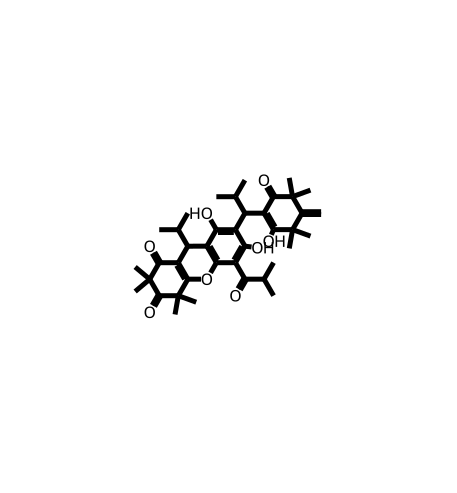 C=C1C(C)(C)C(=O)C(C(c2c(O)c(C(=O)C(C)C)c3c(c2O)C(C(C)C)C2=C(O3)C(C)(C)C(=O)C(C)(C)C2=O)C(C)C)=C(O)C1(C)C